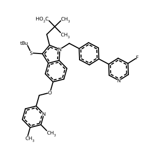 Cc1ccc(COc2ccc3c(c2)c(SC(C)(C)C)c(CC(C)(C)C(=O)O)n3Cc2ccc(-c3cncc(F)c3)cc2)nc1C